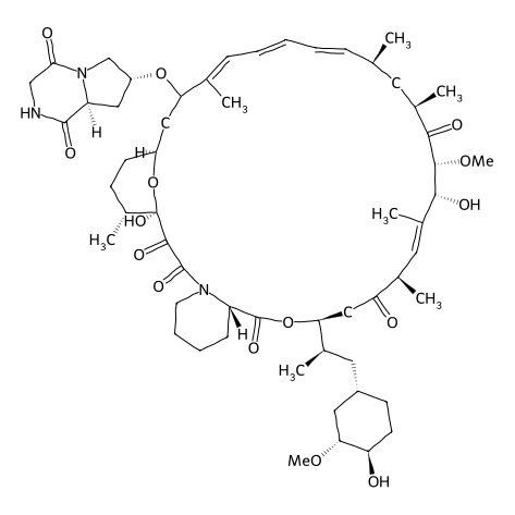 CO[C@@H]1C[C@H](C[C@@H](C)[C@@H]2CC(=O)[C@H](C)/C=C(\C)[C@@H](O)[C@@H](OC)C(=O)[C@H](C)C[C@H](C)/C=C/C=C/C=C(\C)C(O[C@@H]3C[C@H]4C(=O)NCC(=O)N4C3)C[C@@H]3CC[C@@H](C)[C@@](O)(O3)C(=O)C(=O)N3CCCC[C@H]3C(=O)O2)CC[C@H]1O